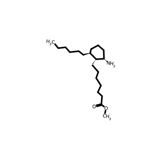 CCCCCC[C@H]1CCC[C@H](N)[C@@H]1CCCCCCC(=O)OC